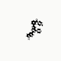 CN1CCN(C(=O)c2cccc(-c3cc4c(N5CCOCC5)nc(-c5cnc6[nH]ccc6c5)nc4s3)c2)CC1